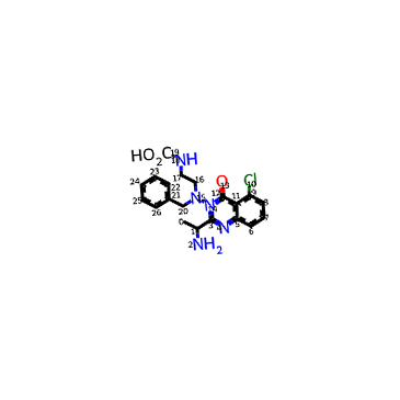 CC(N)c1nc2cccc(Cl)c2c(=O)n1N(CCNC(=O)O)Cc1ccccc1